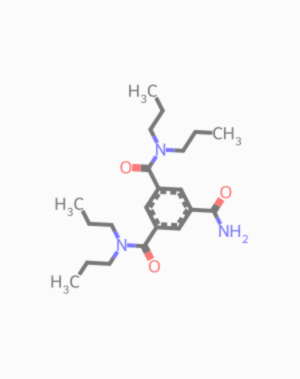 CCCN(CCC)C(=O)c1cc(C(N)=O)cc(C(=O)N(CCC)CCC)c1